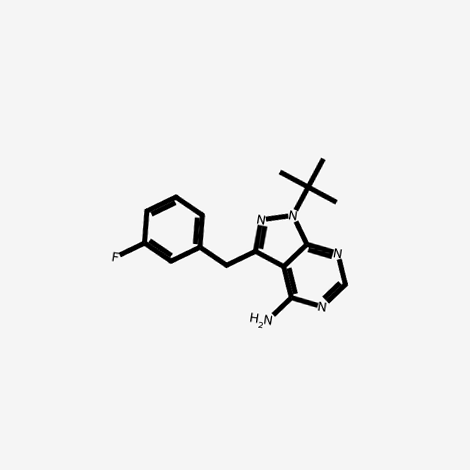 CC(C)(C)n1nc(Cc2cccc(F)c2)c2c(N)ncnc21